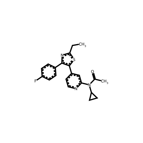 CCc1nc(-c2ccc(F)cc2)c(-c2ccnc(N(C(C)=O)C3CC3)c2)s1